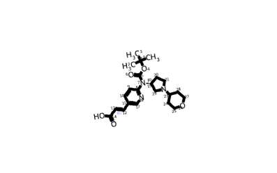 CC(C)(C)OC(=O)N(c1ccc(/C=C/C(=O)O)cn1)[C@@H]1CCN(C2CCOCC2)C1